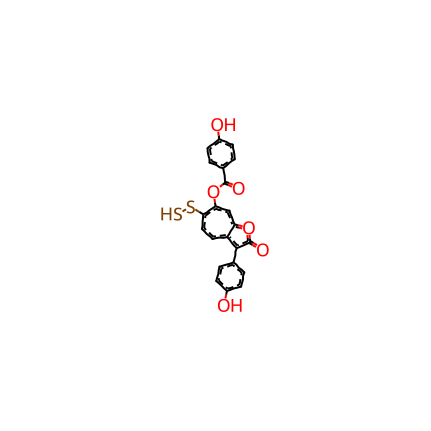 O=C(Oc1cc2oc(=O)c(-c3ccc(O)cc3)c-2ccc1SS)c1ccc(O)cc1